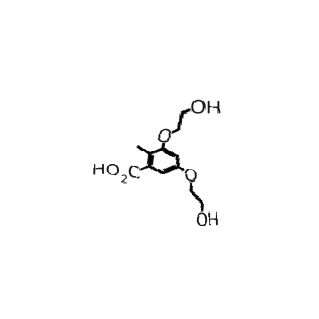 Cc1c(OCCO)cc(OCCO)cc1C(=O)O